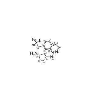 CN(c1ncnc2ccc(CC(F)(F)F)cc12)C1CCC(N)C1